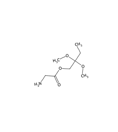 CCC(COC(=O)CN)(OC)OC